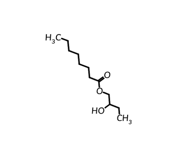 CCCCCCCC(=O)OCC(O)CC